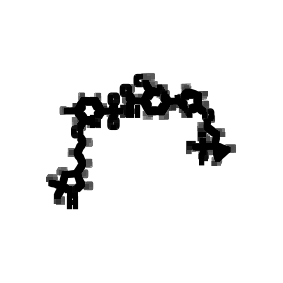 Cc1ccc(S(=O)(=O)NC(=O)c2ccc(-n3ccc(OCCC4(C(F)(F)F)CC4)n3)nc2Cl)nc1OCCCC1CNC(C)(C)C1